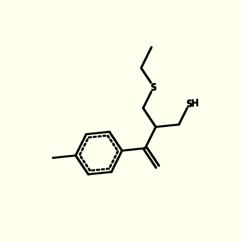 C=C(c1ccc(C)cc1)C(CS)CSCC